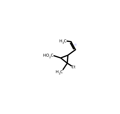 C/C=C\C1C(C(=O)O)C1(C)CC